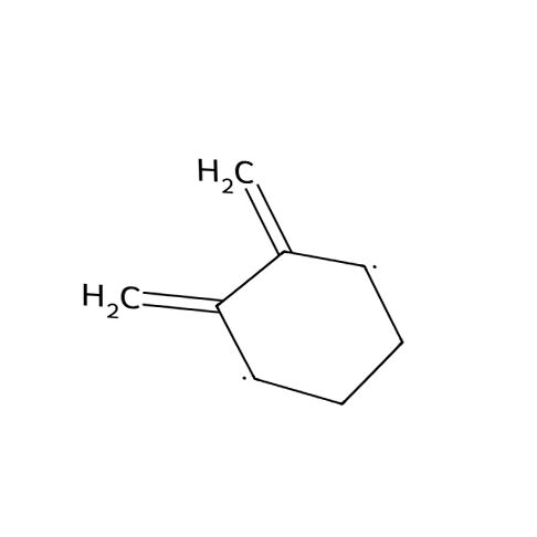 C=C1[CH]CC[CH]C1=C